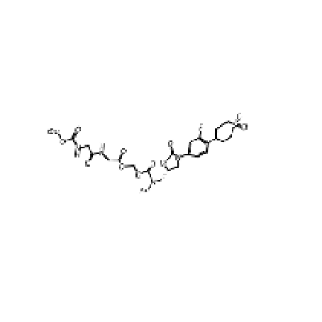 CC(=O)N(C[C@H]1CN(c2ccc(C3CCS(=O)(=O)CC3)c(F)c2)C(=O)O1)C(=O)OCOC(=O)CNC(=O)CNC(=O)OC(C)(C)C